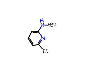 CCc1cccc(NC(C)(C)C)n1